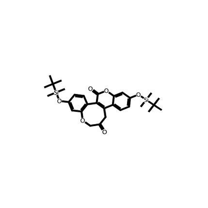 CC(C)(C)[Si](C)(C)Oc1ccc2c(c1)OCC(=O)Cc1c-2c(=O)oc2cc(O[Si](C)(C)C(C)(C)C)ccc12